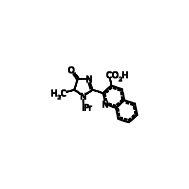 CC(C)N1C(c2nc3ccccc3cc2C(=O)O)=NC(=O)C1C